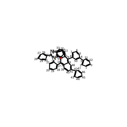 c1ccc(-c2cccc(-c3c4ccccc4c(-c4ccccc4-n4c(-c5ccccc5)nc5ccccc54)c4ccc(-c5ccccc5)cc34)c2)cc1